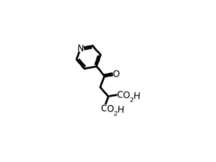 O=C(CC(C(=O)O)C(=O)O)c1ccncc1